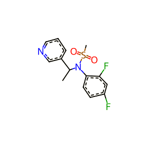 CC(c1cccnc1)N(c1ccc(F)cc1F)S(C)(=O)=O